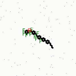 CCCCCc1ccc(-c2ccc(-c3ccc(/C(F)=C(\F)c4ccc(C(F)(F)Oc5cc(F)c(F)c(F)c5)c(F)c4)c(F)c3)c(F)c2)cc1